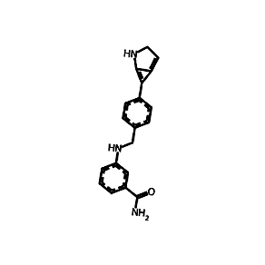 NC(=O)c1cccc(NCc2ccc(C3=C4NCC=C43)cc2)c1